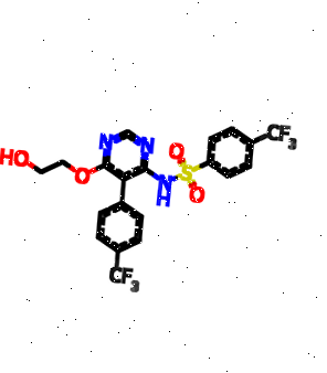 O=S(=O)(Nc1ncnc(OCCO)c1-c1ccc(C(F)(F)F)cc1)c1ccc(C(F)(F)F)cc1